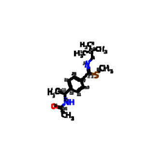 CS/C(=N\C[Si](C)(C)C)c1ccc(C(C)NC(C)=O)cc1